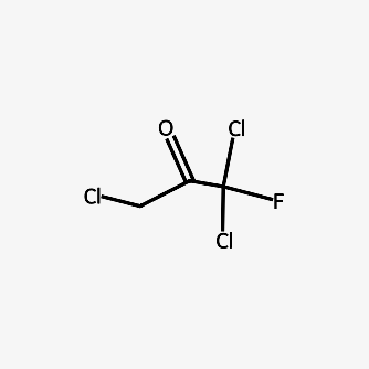 O=C(CCl)C(F)(Cl)Cl